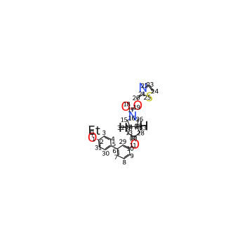 CCOc1ccc(-c2cccc(O[C@@H]3C[C@@H]4CN(C(=O)OCc5nccs5)C[C@@H]4C3)c2)cc1